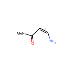 CNC(=O)/C=C\N